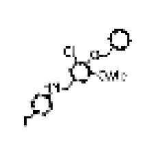 COc1cc(CNc2ccc(F)cc2)cc(Cl)c1OCc1ccccc1